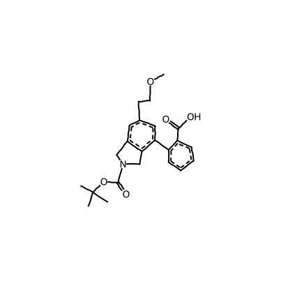 COCCc1cc2c(c(-c3ccccc3C(=O)O)c1)CN(C(=O)OC(C)(C)C)C2